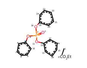 CCOC(C)=O.O=P(Oc1ccccc1)(Oc1ccccc1)Oc1ccccc1